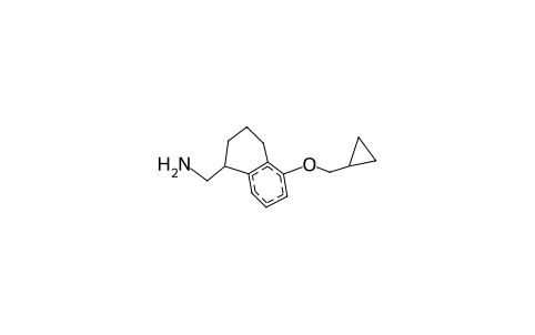 NCC1CCCc2c(OCC3CC3)cccc21